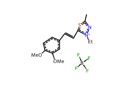 CC[n+]1nc(C)sc1C=Cc1ccc(OC)c(OC)c1.F[B-](F)(F)F